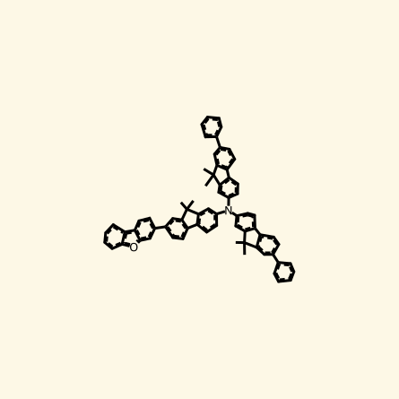 CC1(C)c2cc(-c3ccccc3)ccc2-c2ccc(N(c3ccc4c(c3)C(C)(C)c3cc(-c5ccccc5)ccc3-4)c3ccc4c(c3)C(C)(C)c3cc(-c5ccc6c(c5)oc5ccccc56)ccc3-4)cc21